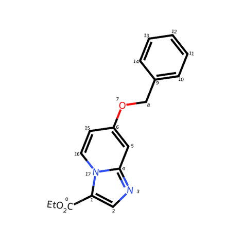 CCOC(=O)c1cnc2cc(OCc3ccccc3)ccn12